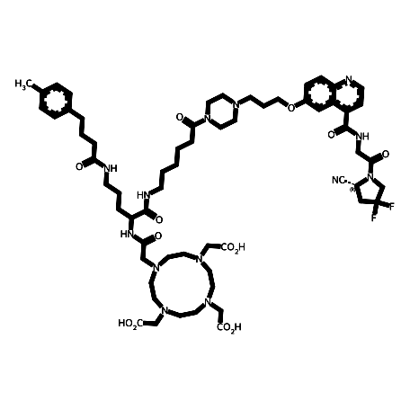 Cc1ccc(CCCC(=O)NCCCC(NC(=O)CN2CCN(CC(=O)O)CCN(CC(=O)O)CCN(CC(=O)O)CC2)C(=O)NCCCCCC(=O)N2CCN(CCCOc3ccc4nccc(C(=O)NCC(=O)N5CC(F)(F)C[C@@H]5C#N)c4c3)CC2)cc1